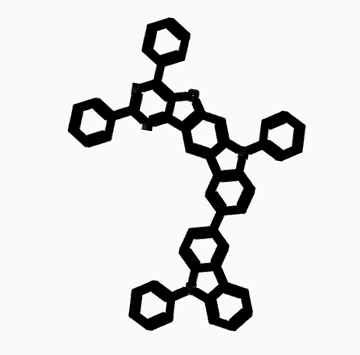 c1ccc(-c2nc(-c3ccccc3)c3oc4cc5c(cc4c3n2)c2cc(-c3ccc4c(c3)c3ccccc3n4-c3ccccc3)ccc2n5-c2ccccc2)cc1